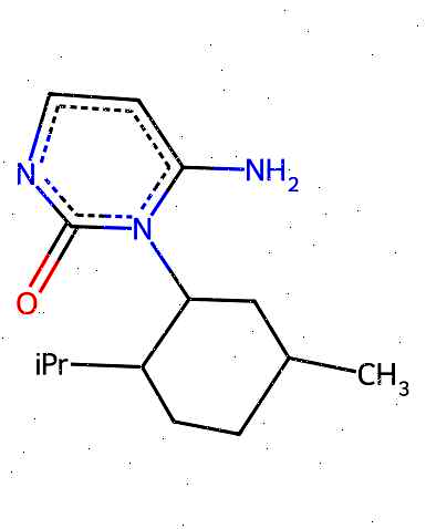 CC1CCC(C(C)C)C(n2c(N)ccnc2=O)C1